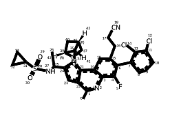 Cc1nc2c(F)c(-c3cccc(Cl)c3Cl)c(CCC#N)cc2c2c1cc(C(C)NS(=O)(=O)C1CC1)n2[C@H]1[C@H]2CN[C@@H]1C2